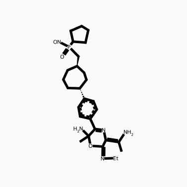 CC/N=C1/OC(C)(N)C(c2ccc([C@@H]3CCC[C@@H](CP(=O)(N=O)C4CCCC4)CC3)cc2)=N/C1=C(/C)N